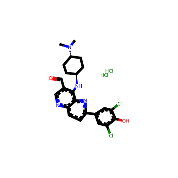 CN(C)[C@H]1CC[C@H](Nc2c(C=O)cnc3ccc(-c4cc(Cl)c(O)c(Cl)c4)nc23)CC1.Cl.Cl